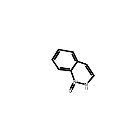 O=[n+]1[nH]ccc2ccccc21